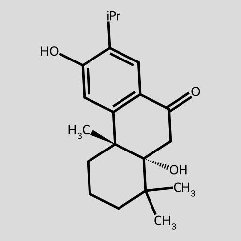 CC(C)c1cc2c(cc1O)[C@@]1(C)CCCC(C)(C)[C@]1(O)CC2=O